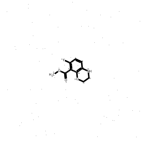 COC(=O)c1c(F)ccc2c1OCCN2